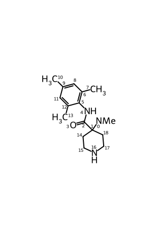 CNC1(C(=O)Nc2c(C)cc(C)cc2C)CCNCC1